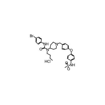 CCCCN(C(=O)Nc1ccc(Br)cc1)C1CCN(Cc2ccc(Oc3ccc(NS(C)(=O)=O)cc3)cc2)CC1.Cl